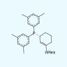 CCCCCCC1=C[C@H](P(c2cc(C)cc(C)c2)c2cc(C)cc(C)c2)CCC1